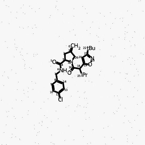 C=C1CC(C(=O)NCc2ccc(Cl)cc2)N(C(=O)C(c2cc(C(C)(C)C)no2)C(C)C)C1